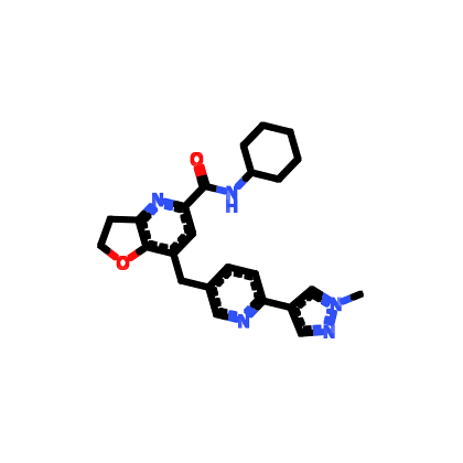 Cn1cc(-c2ccc(Cc3cc(C(=O)NC4CCCCC4)nc4c3OCC4)cn2)cn1